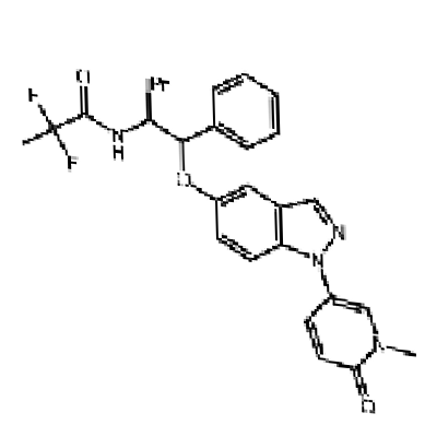 CC(C)C(NC(=O)C(C)(F)F)C(Oc1ccc2c(cnn2-c2ccc(=O)n(C)c2)c1)c1ccccc1